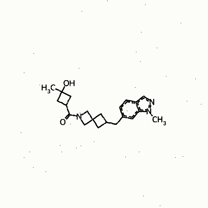 Cn1ncc2ccc(CC3CC4(C3)CN(C(=O)C3CC(C)(O)C3)C4)cc21